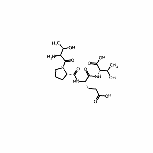 C[C@@H](O)[C@H](N)C(=O)N1CCC[C@H]1C(=O)N[C@@H](CCC(=O)O)C(=O)N[C@H](C(=O)O)[C@@H](C)O